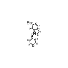 CCc1ccc2ccn(Sc3ccccc3)c2c1